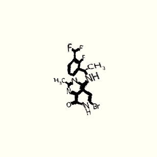 Cc1nc(N[C@H](C)c2cccc(C(F)F)c2F)c2cc(Br)[nH]c(=O)c2n1